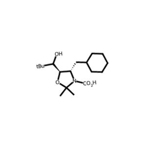 CC(C)(C)C(O)[C@@H]1OC(C)(C)N(C(=O)O)[C@H]1CC1CCCCC1